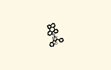 c1ccc(-c2nc(-n3c4cccc5c4c4c(cccc43)-c3cccc4cccc-5c34)nc3c2oc2ccccc23)cc1